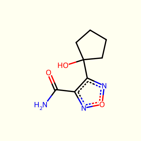 NC(=O)c1nonc1C1(O)CCCC1